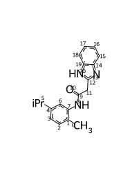 Cc1ccc(C(C)C)cc1NC(=O)Cc1nc2ccccc2[nH]1